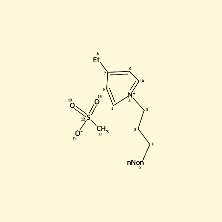 CCCCCCCCCCCC[n+]1ccc(CC)cc1.CS(=O)(=O)[O-]